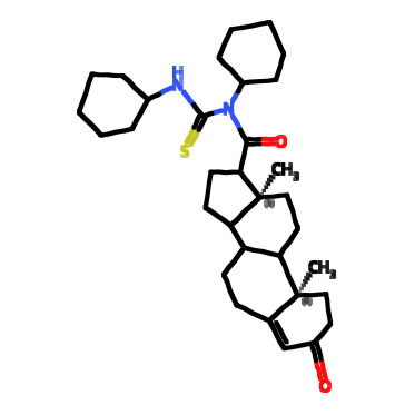 C[C@]12CCC3C(CCC4=CC(=O)CC[C@@]43C)C1CCC2C(=O)N(C(=S)NC1CCCCC1)C1CCCCC1